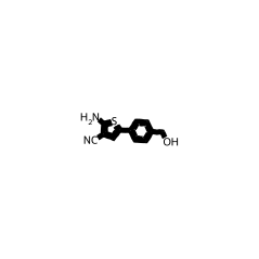 N#Cc1cc(-c2ccc(CO)cc2)sc1N